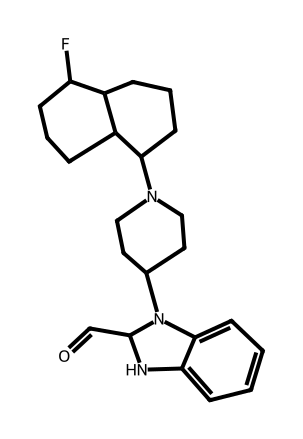 O=CC1Nc2ccccc2N1C1CCN(C2CCCC3C(F)CCCC32)CC1